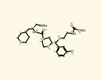 CNC[C@H](CC1CCOCC1)NC(=O)N1CCO[C@@H](C(OCCNC(=O)OC)c2cccc(Cl)c2)C1